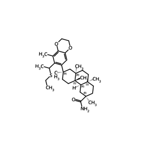 CCSC(C)c1c([C@]2(C)CC[C@@]3(C)[C@@H]4C[C@](C)(C(N)=O)CC[C@]4(C)CC[C@]3(C)C2)cc2c(c1C)OCCO2